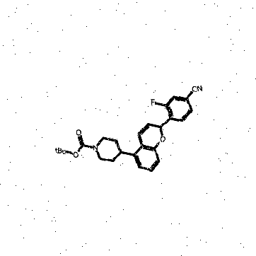 CC(C)(C)OC(=O)N1CCC(c2cccc3c2C=CC(c2ccc(C#N)cc2F)O3)CC1